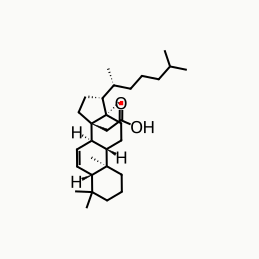 CC(C)CCC[C@@H](C)[C@H]1CC[C@@]2(CC(=O)O)[C@@H]3C=C[C@H]4C(C)(C)CCC[C@]4(C)[C@H]3CC[C@]12C